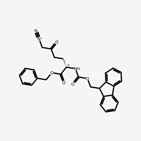 N#[N+]CC(=O)CC[C@H](NC(=O)OCC1c2ccccc2-c2ccccc21)C(=O)OCc1ccccc1